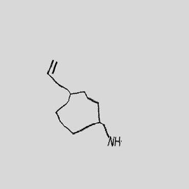 C=CC1CCC([NH])CC1